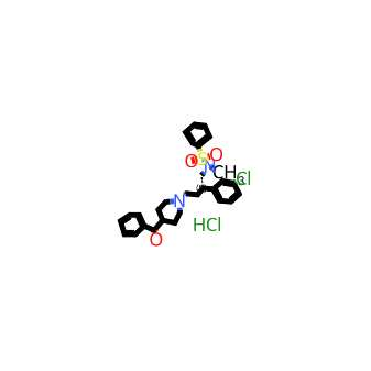 CN(C[C@@H](CCN1CCC(C(=O)c2ccccc2)CC1)c1cccc(Cl)c1)S(=O)(=O)c1ccccc1.Cl